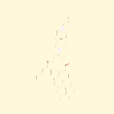 CCCCCCCCCC(CCCC)C(=O)OCC(COC(=O)C(CCCCCC)CCCCCCCC)N1CCC2(CCN(CCCCO)CC2)CC1